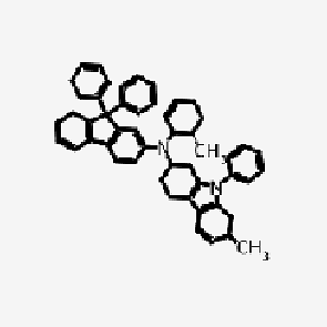 CC1C=Cc2c3c(n(-c4ccccc4)c2C1)CC(N(c1ccc2c(c1)C(C1=CC=CCC1)(c1ccccc1)C1=C2C=CCC1)C1C=CCC[C@@H]1C)CC3